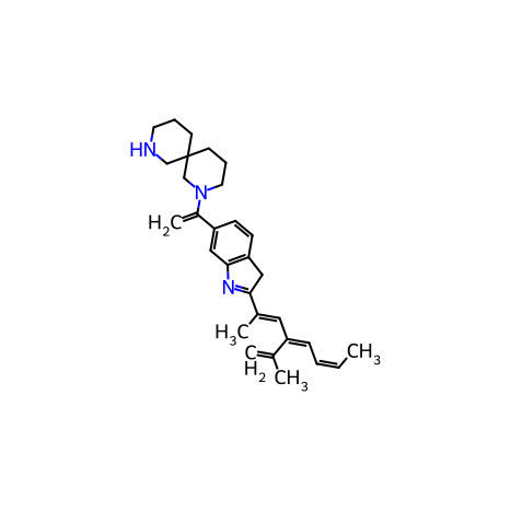 C=C(C)C(=C\C=C/C)/C=C(\C)C1=Nc2cc(C(=C)N3CCCC4(CCCNC4)C3)ccc2C1